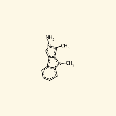 Cc1c2c(cn1N)c1ccccc1n2C